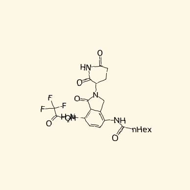 CCCCCCC(=O)Nc1ccc(N)c2c1CN(C1CCC(=O)NC1=O)C2=O.O=C(O)C(F)(F)F